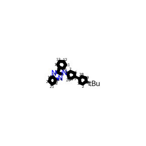 CC(C)(C)c1ccc(-c2ccc(-n3c4ccccc4c4nc5ccccc5nc43)cc2)cc1